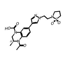 CC(=O)N1c2ccc(-c3cnn(CCN4CCCS4(=O)=O)c3)cc2N(C(=O)O)C[C@@H]1C